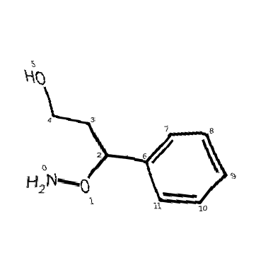 NOC(CCO)c1ccccc1